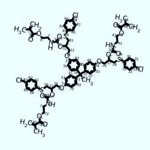 C=C(C)C(=O)OCCNC(=O)OC(COc1ccc(C(C)(c2ccc(OCC(CSc3ccc(Cl)cc3)OC(=O)NCCOC(=O)C(=C)C)cc2)c2ccc(OCC(CSc3ccc(Cl)cc3)OC(=O)NCCOC(=O)C(=C)C)cc2)cc1)CSc1ccc(Cl)cc1